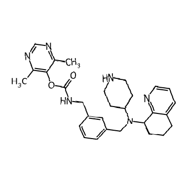 Cc1ncnc(C)c1OC(=O)NCc1cccc(CN(C2CCNCC2)C2CCCc3cccnc32)c1